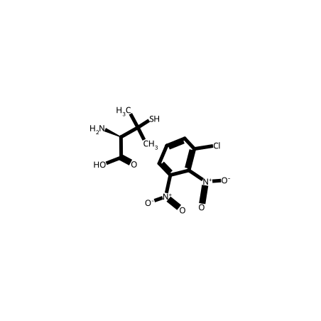 CC(C)(S)[C@H](N)C(=O)O.O=[N+]([O-])c1cccc(Cl)c1[N+](=O)[O-]